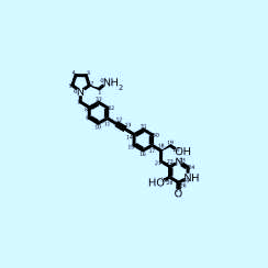 NC[C@@H]1CCCN1Cc1ccc(C#Cc2ccc([C@@H](CO)Cc3nc[nH]c(=O)c3O)cc2)cc1